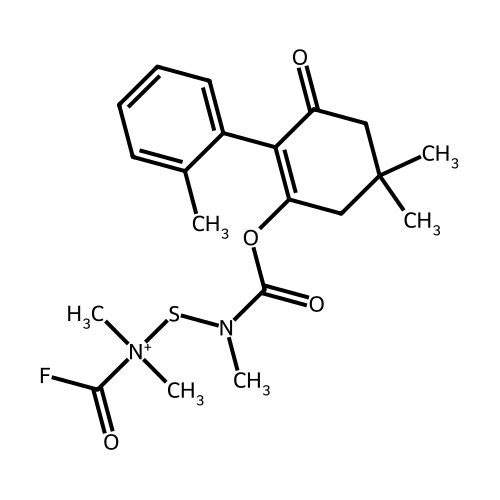 Cc1ccccc1C1=C(OC(=O)N(C)S[N+](C)(C)C(=O)F)CC(C)(C)CC1=O